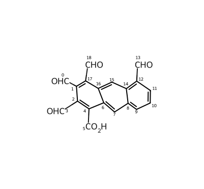 O=Cc1c(C=O)c(C(=O)O)c2cc3cccc(C=O)c3cc2c1C=O